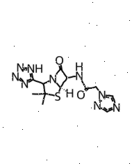 CC1(C)S[C@@H]2C(NC(=O)Cn3cncn3)C(=O)N2C1c1nnn[nH]1